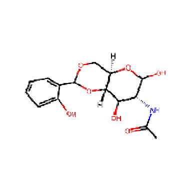 CC(=O)N[C@H]1C(O)O[C@@H]2COC(c3ccccc3O)O[C@H]2[C@@H]1O